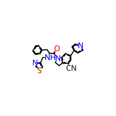 N#Cc1cc(-c2ccncc2)cc2c1CCN2C(=O)C(Cc1ccccc1)NCc1cscn1